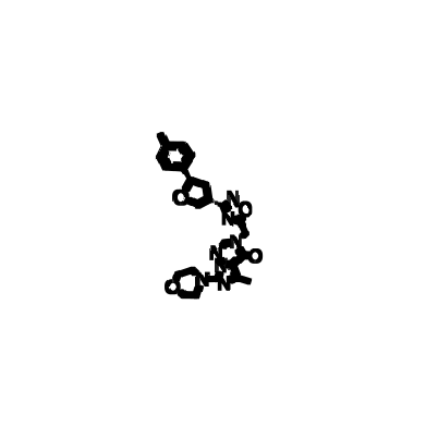 Cc1ccc([C@H]2C[C@H](c3noc(Cn4cnn5c(N6CCOCC6)nc(C)c5c4=O)n3)CO2)cc1